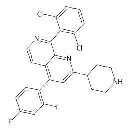 Fc1ccc(-c2cc(C3CCNCC3)nc3c(-c4c(Cl)cccc4Cl)nccc23)c(F)c1